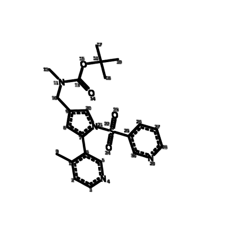 Cc1ccncc1-c1cc(CN(C)C(=O)OC(C)(C)C)cn1S(=O)(=O)c1cccnc1